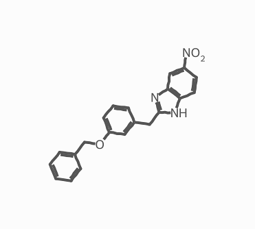 O=[N+]([O-])c1ccc2[nH]c(Cc3cccc(OCc4ccccc4)c3)nc2c1